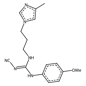 COc1ccc(NC(=NC#N)NCCCn2cnc(C)c2)cc1